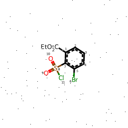 CCOC(=O)c1cccc(Br)c1S(=O)(=O)Cl